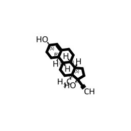 C#C[C@]1(O)CC[C@H]2[C@@H]3CCC4=C[C@@H](O)CC[C@@H]4[C@H]3CC[C@@]21C